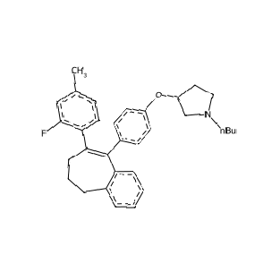 CCCCN1CCC(Oc2ccc(C3=C(c4ccc(C)cc4F)CCCc4ccccc43)cc2)C1